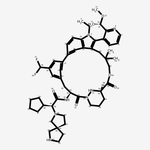 CCn1c(-c2cccnc2[C@H](C)OC)c2c3cc(ccc31)-c1cc(cc(C(F)F)c1)C[C@H](NC(=O)[C@H](C1CCCC1)N1CC[C@]3(CCNC3)C1)C(=O)N1CCC[C@H](N1)C(=O)OCC(C)(C)C2